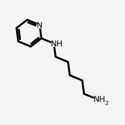 NCCCCCNc1ccccn1